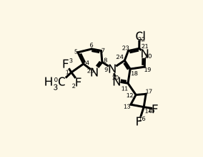 CC(F)(F)c1cccc(-n2nc(C3CC(F)(F)C3)c3cnc(Cl)cc32)n1